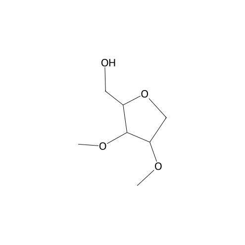 COC1COC(CO)C1OC